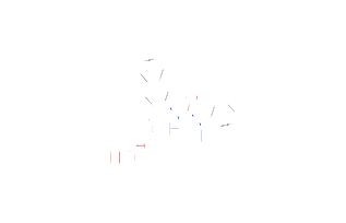 Cc1cccc(C)c1NC(=O)Nc1cc2ccccc2cc1C(=O)C1CCC[C@H]1C(=O)O